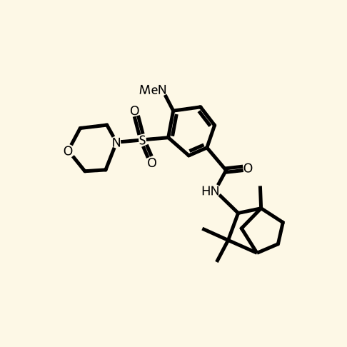 CNc1ccc(C(=O)NC2C3(C)CCC(C3)C2(C)C)cc1S(=O)(=O)N1CCOCC1